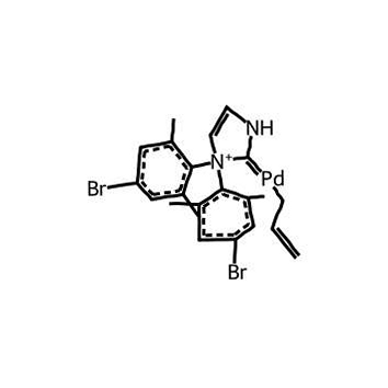 C=C[CH2]/[Pd]=[C]1\NC=C[N+]1(c1c(C)cc(Br)cc1C)c1c(C)cc(Br)cc1C